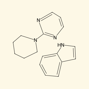 c1ccc2[nH]ccc2c1.c1cnc(N2CCCCC2)nc1